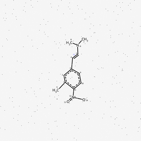 Cc1cc(/C=C/N(C)C)ccc1[N+](=O)[O-]